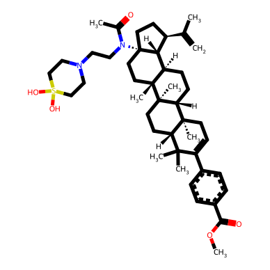 C=C(C)[C@@H]1CC[C@]2(N(CCN3CCS(O)(O)CC3)C(C)=O)CC[C@]3(C)[C@H](CC[C@@H]4[C@@]5(C)CC=C(c6ccc(C(=O)OC)cc6)C(C)(C)[C@@H]5CC[C@]43C)[C@@H]12